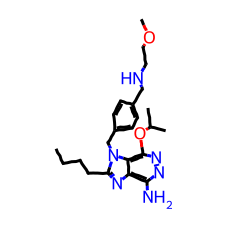 CCCCc1nc2c(N)nnc(OC(C)C)c2n1Cc1ccc(CNCCOC)cc1